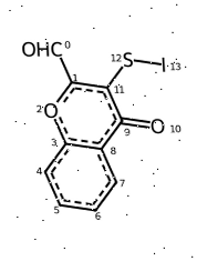 O=Cc1oc2ccccc2c(=O)c1SI